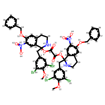 COc1c(Br)cc(CC2(OC(=O)C(=O)OC3(Cc4cc(Br)c(OC)c(Br)c4)NCCc4cc(OCc5ccccc5)c([N+](=O)[O-])cc43)NCCc3cc(OCc4ccccc4)c([N+](=O)[O-])cc32)cc1Br